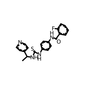 CC(NC(=S)Nc1ccc(NC(=O)c2ccccc2F)cc1)c1ccncc1